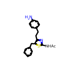 CC(=O)Nc1nc(CCc2ccc(N)cc2)c(Cc2ccccc2)s1